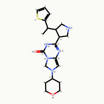 CC(c1cccs1)C1CNCC1C1=NC2=CN(C3CCOCC3)CN2C(=O)N1